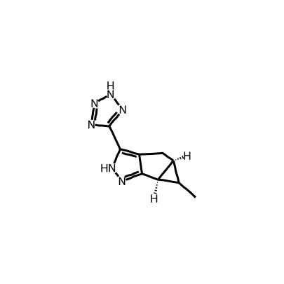 CC1[C@H]2c3n[nH]c(-c4nn[nH]n4)c3C[C@@H]12